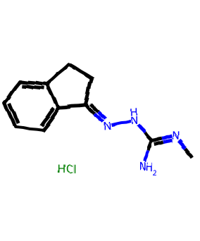 C/N=C(\N)N/N=C1\CCc2ccccc21.Cl